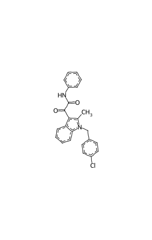 Cc1c(C(=O)C(=O)Nc2ccccc2)c2ccccc2n1Cc1ccc(Cl)cc1